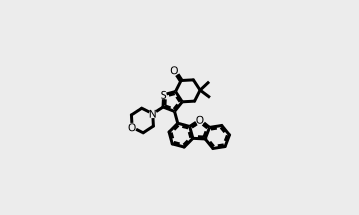 CC1(C)CC(=O)c2sc(N3CCOCC3)c(-c3cccc4c3oc3ccccc34)c2C1